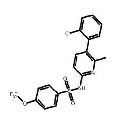 Cc1nc(NS(=O)(=O)c2ccc(OC(F)(F)F)cc2)ccc1-c1ccccc1Cl